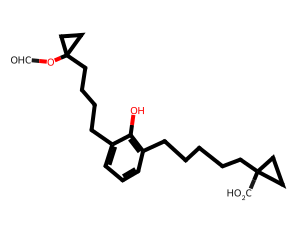 O=COC1(CCCCc2cccc(CCCCCC3(C(=O)O)CC3)c2O)CC1